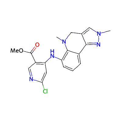 COC(=O)c1cnc(Cl)cc1Nc1cccc2c1N(C)Cc1cn(C)nc1-2